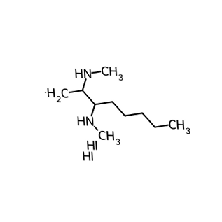 I.I.[CH2]C(NC)C(CCCCC)NC